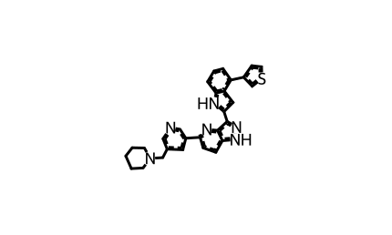 c1cc(-c2ccsc2)c2cc(-c3n[nH]c4ccc(-c5cncc(CN6CCCCC6)c5)nc34)[nH]c2c1